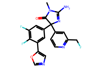 CN1C(=O)C(c2ccnc(CF)c2)(c2cc(F)c(F)c(-c3cnco3)c2)N=C1N